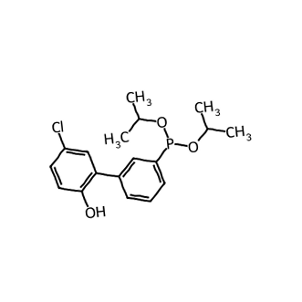 CC(C)OP(OC(C)C)c1cccc(-c2cc(Cl)ccc2O)c1